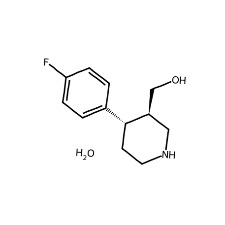 O.OC[C@H]1CNCC[C@@H]1c1ccc(F)cc1